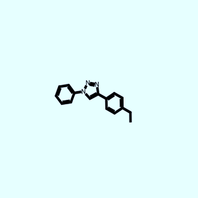 CCc1ccc(-c2cn(-c3ccccc3)nn2)cc1